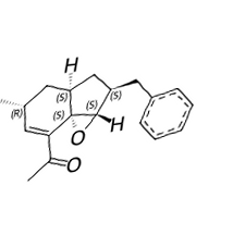 CC(=O)C1=C[C@H](C)C[C@H]2C[C@@H](Cc3ccccc3)[C@@H]3O[C@]123